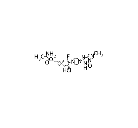 CC(N)C(=O)OCCOc1cc(F)c(N2CCN(C3=NC4=CN(C)CN4C(=O)N3)CC2)c(F)c1.Cl